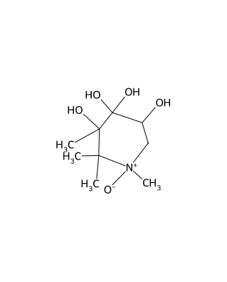 CC1(O)C(O)(O)C(O)C[N+](C)([O-])C1(C)C